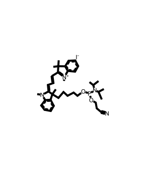 CC(C)N(C(C)C)P(OCCC#N)OCCCCCC1(C)/C(=C\C=C\C2=[N+](C)c3ccccc3C2(C)C)N(C)c2ccccc21.[I-]